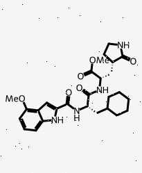 COC(=O)[C@H](C[C@@H]1CCNC1=O)NC(=O)[C@H](CC1CCCCC1)NC(=O)c1cc2c(OC)cccc2[nH]1